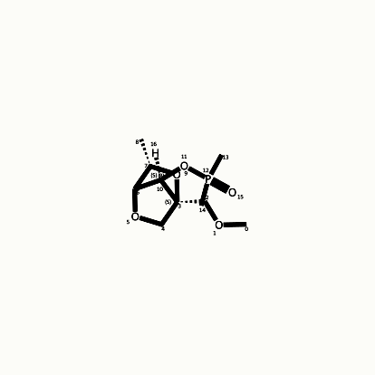 COC[C@@]12COC([C@H](C)O1)[C@H]2OP(C)(C)=O